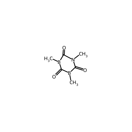 CB1C(=O)B(C)C(=O)N(C)C1=O